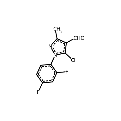 Cc1nn(-c2ccc(F)cc2F)c(Cl)c1C=O